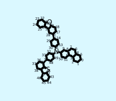 c1ccc2c(c1)ccc1cc(N(c3ccc(-c4ccc5oc6ccccc6c5c4)cc3)c3ccc(-c4cccc5c4sc4ccccc45)cc3)ccc12